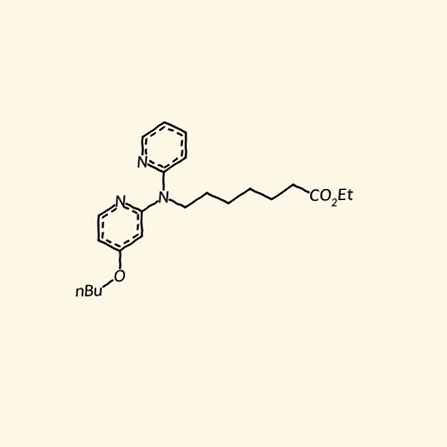 CCCCOc1ccnc(N(CCCCCCC(=O)OCC)c2ccccn2)c1